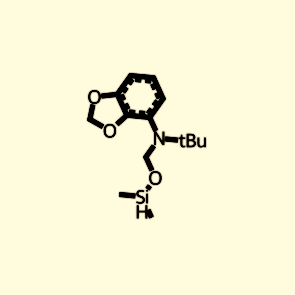 C[SiH](C)OCN(c1cccc2c1OCO2)C(C)(C)C